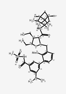 COc1c(CN2O[C@@H](CN)[C@@H](CO)[C@H]2C(=O)N[C@H]2C[C@H]3C[C@@H]([C@@H]2C)C3(C)C)cccc1-c1cc(C(=O)NS(C)(=O)=O)cc(N(C)C)c1